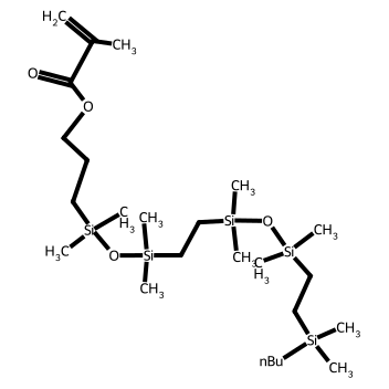 C=C(C)C(=O)OCCC[Si](C)(C)O[Si](C)(C)CC[Si](C)(C)O[Si](C)(C)CC[Si](C)(C)CCCC